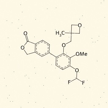 COc1c(OC(F)F)ccc(-c2ccc3c(c2)COC3=O)c1OCC1(C)COC1